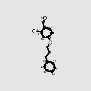 O=Cc1ccc(OCCCc2ccccc2)cc1Cl